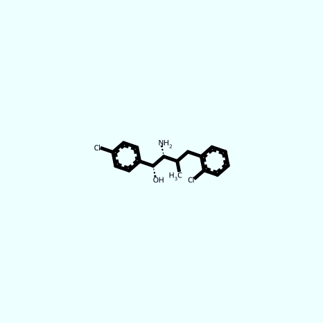 CC(Cc1ccccc1Cl)[C@@H](N)[C@H](O)c1ccc(Cl)cc1